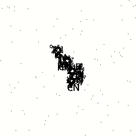 C[C@H]1CCCN(Cc2cc(C(=O)O)c3c(Nc4cc(-c5ccc(C#N)cc5-c5nncn5C)cc(C5CC5)n4)cccc3n2)C1